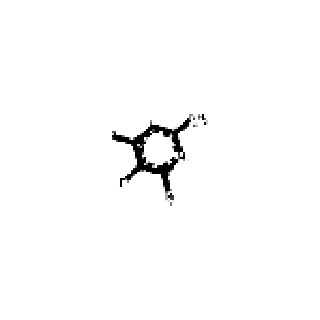 Cc1cc(N)nc(Br)c1F